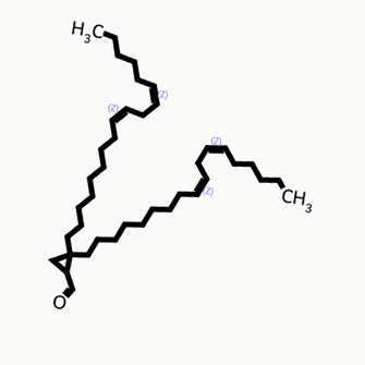 CCCCC/C=C\C/C=C\CCCCCCCCC1(CCCCCCCC/C=C\C/C=C\CCCCC)CC1C=O